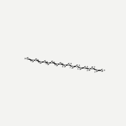 S=S=S=S=S=S=S=S=S=S=S=S=S=S=S=S=S=S=S